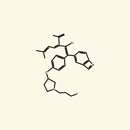 C=C(C)C(=C\C=C(C)C)/C(CC)=C(\c1ccc(OC2CCN(CCCF)C2)cc1)c1ccc2c(c1)C=N2